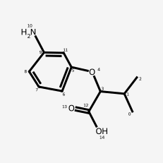 CC(C)C(Oc1cccc(N)c1)C(=O)O